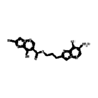 CCOC(=O)c1cnn2cc(CCCOC(=O)c3cnn4cc(Br)nc4c3O)nc2c1O